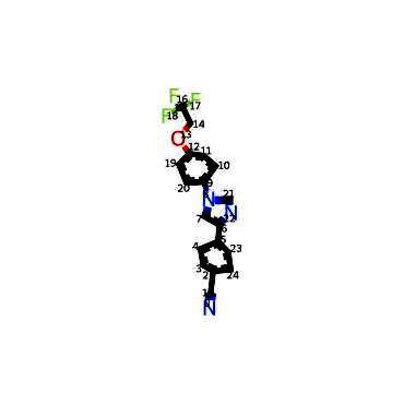 N#Cc1ccc(-c2cn(-c3ccc(OCC(F)(F)F)cc3)cn2)cc1